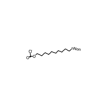 CCCCCCCCCCCCCCCCCCCOC(=O)Cl